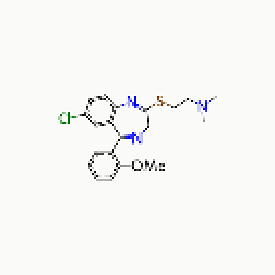 COc1ccccc1C1=NCC(SCCN(C)C)=Nc2ccc(Cl)cc21